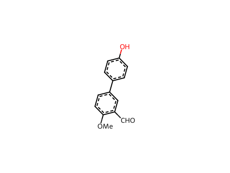 COc1ccc(-c2ccc(O)cc2)cc1C=O